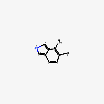 CC(C)c1ccc2c[nH]cc2c1C(C)(C)C